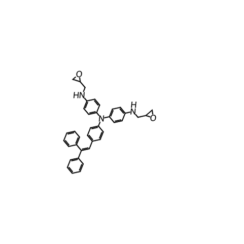 C(=C(c1ccccc1)c1ccccc1)c1ccc(N(c2ccc(NCC3CO3)cc2)c2ccc(NCC3CO3)cc2)cc1